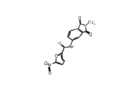 CN1C(=O)c2ccc(NC(=O)c3ccc([N+](=O)[O-])o3)cc2C1=O